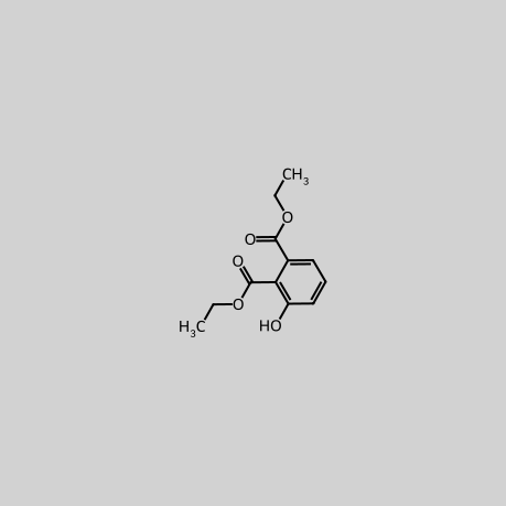 CCOC(=O)c1cccc(O)c1C(=O)OCC